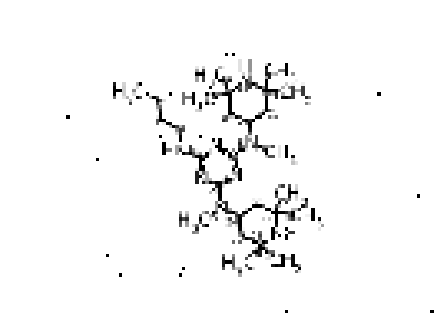 CCCCNc1nc(N(C)C2CC(C)(C)NC(C)(C)C2)nc(N(C)C2CC(C)(C)NC(C)(C)C2)n1